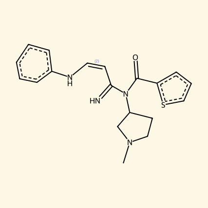 CN1CCC(N(C(=N)/C=C\Nc2ccccc2)C(=O)c2cccs2)C1